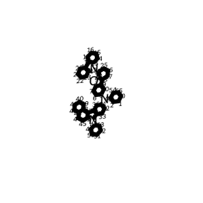 c1ccc(N(c2ccc3oc4c(-n5c6ccccc6c6ccccc65)cccc4c3c2)c2ccc3c(c2)c2c4ccccc4ccc2n3-c2ccccc2)cc1